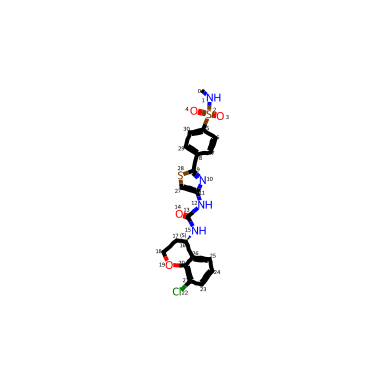 CNS(=O)(=O)c1ccc(-c2nc(NC(=O)N[C@H]3CCOc4c(Cl)cccc43)cs2)cc1